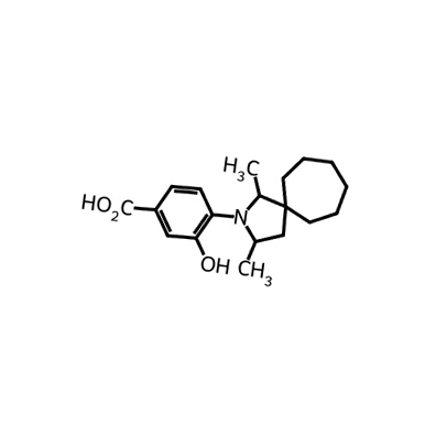 CC1CC2(CCCCCC2)C(C)N1c1ccc(C(=O)O)cc1O